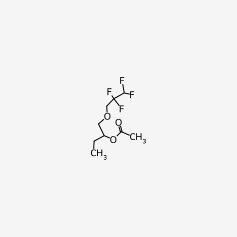 CCC(COCC(F)(F)C(F)F)OC(C)=O